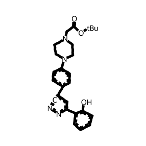 CC(C)(C)OC(=O)CN1CCN(c2ccc(-c3cnnc(-c4ccccc4O)c3)cc2)CC1